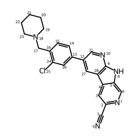 N#Cc1cc2c(cn1)[nH]c1ncc(-c3ccc(CN4CCCCC4)c(Cl)c3)cc12